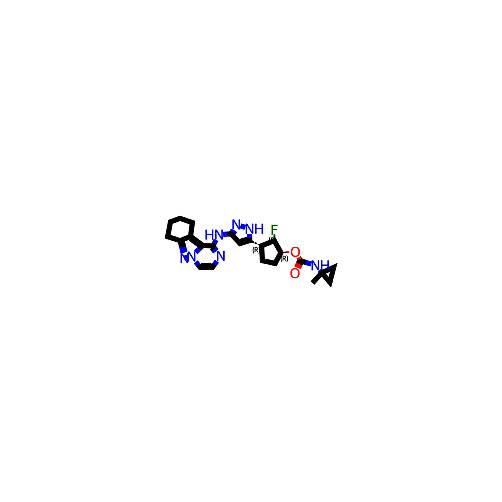 CC1(NC(=O)O[C@@H]2CC[C@H](c3cc(Nc4nccn5nc6c(c45)CCCC6)n[nH]3)[C@@H]2F)CC1